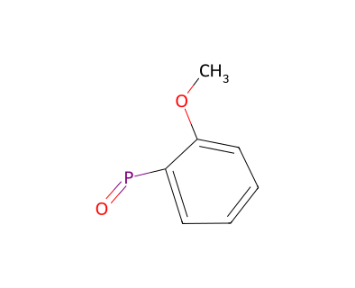 COc1ccccc1P=O